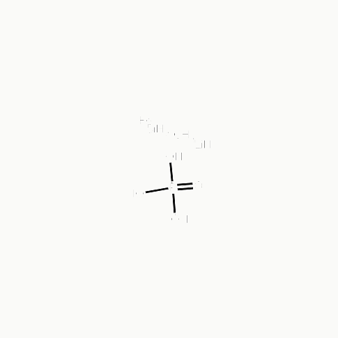 C.O=P(O)(O)O.[Fe].[LiH].[SiH4]